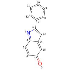 O=C1C=CC2=NC(c3ccccc3)=CC2=C1